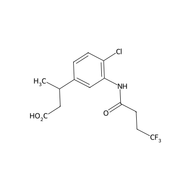 CC(CC(=O)O)c1ccc(Cl)c(NC(=O)CCC(F)(F)F)c1